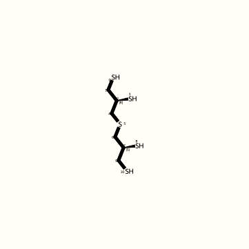 SC[C@@H](S)CSC[C@@H](S)CS